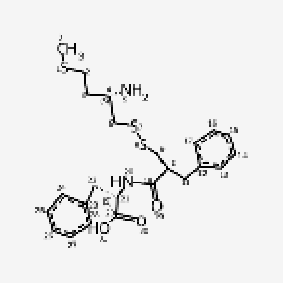 CSCC[C@H](N)CSSCC(Cc1ccccc1)C(=O)N[C@@H](Cc1ccccc1)C(=O)O